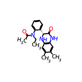 CCN(C(C)=O)c1ccccc1[C@H]1Nc2cc(C)c(C)cc2NC1=O